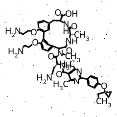 CCC1(Oc2ccc(-c3nc(C)c(C(=O)N[C@@H](CCN)C(=O)N(C)C4C(=O)N[C@@H](C)C(=O)NC(C(=O)O)Cc5ccc(OCCN)c(c5)-c5cc4ccc5OCCN)c(C)n3)cc2)CC1